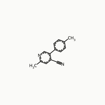 Cc1ccc(-c2cnc(C)cc2C#N)cc1